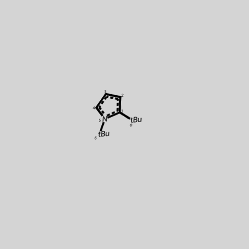 CC(C)(C)c1cccn1C(C)(C)C